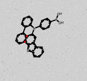 OB(O)c1ccc(N(c2ccc3sc4ccccc4c3c2)c2ccccc2-c2ccccc2)cc1